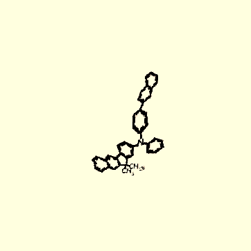 CC1(C)c2cc(N(c3ccccc3)c3ccc(-c4ccc5ccccc5c4)cc3)ccc2-c2cc3ccccc3cc21